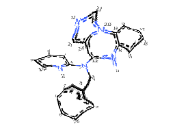 c1ccc(CN(c2ccccn2)c2nc3ccccc3n3cncc23)cc1